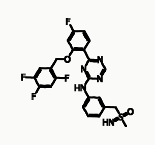 CS(=N)(=O)Cc1cccc(Nc2ncnc(-c3ccc(F)cc3OCc3cc(F)c(F)cc3F)n2)c1